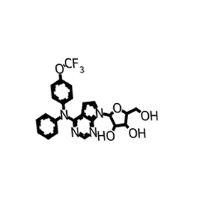 OCC1OC(n2ccc3c(N(c4ccccc4)c4ccc(OC(F)(F)F)cc4)ncnc32)C(O)C1O